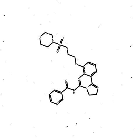 O=C(NC1=Nc2c(OCCCS(=O)(=O)N3CCOCC3)cccc2C2=NCCN12)c1cccnc1